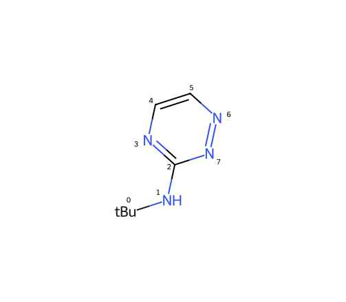 CC(C)(C)Nc1nccnn1